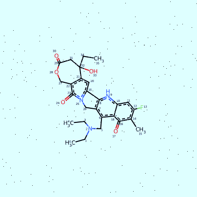 CCN(CC)Cc1c2c([nH]c3cc(F)c(C)c(=O)c1-3)-c1cc3c(c(=O)n1C2)COC(=O)CC3(O)CC